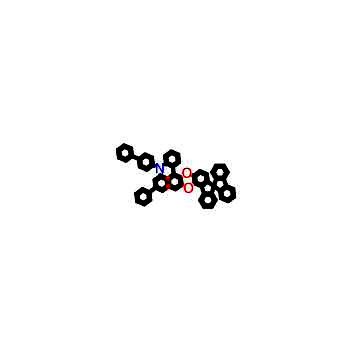 c1ccc(-c2ccc(N(c3cccc(-c4ccccc4)c3)c3ccccc3-c3cccc4c3Oc3ccc5c(c3O4)-c3ccccc3C53c4ccccc4-c4ccccc43)cc2)cc1